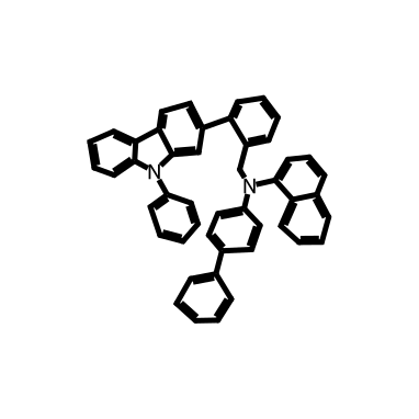 c1ccc(-c2ccc(N(Cc3ccccc3-c3ccc4c5ccccc5n(-c5ccccc5)c4c3)c3cccc4ccccc34)cc2)cc1